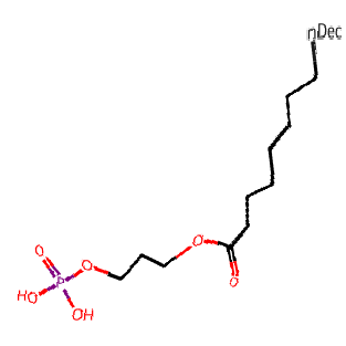 CCCCCCCCCCCCCCCCCC(=O)OCCCOP(=O)(O)O